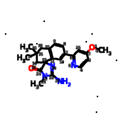 COc1ccnc(-c2ccc3c(c2)C2(CC(C)(C)C3)N=C(N)N(C)C2=O)c1